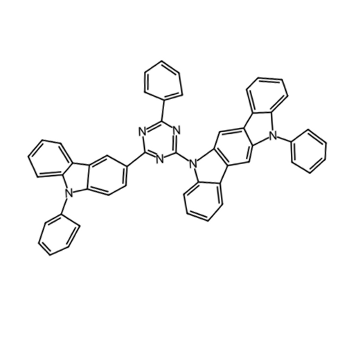 c1ccc(-c2nc(-c3ccc4c(c3)c3ccccc3n4-c3ccccc3)nc(-n3c4ccccc4c4cc5c(cc43)c3ccccc3n5-c3ccccc3)n2)cc1